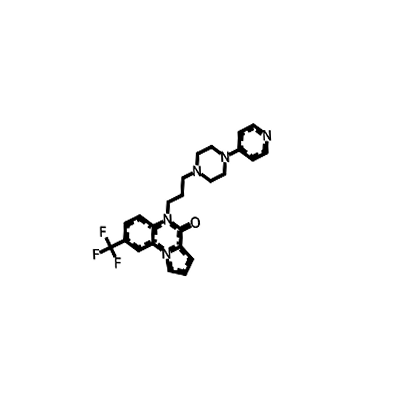 O=c1c2cccn2c2cc(C(F)(F)F)ccc2n1CCCN1CCN(c2ccncc2)CC1